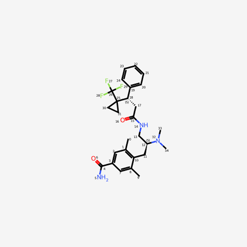 Cc1cc(C(N)=O)cc(C)c1C[C@@H](CNC(=O)C[C@@H](c1ccccc1)C1(C(F)(F)F)CC1)N(C)C